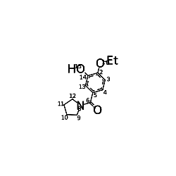 CCOc1ccc(C(=O)N2CCCC2)cc1O